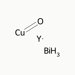 [BiH3].[O]=[Cu].[Y]